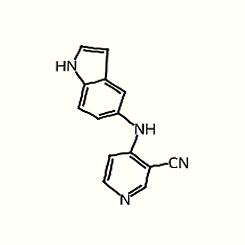 N#Cc1cnccc1Nc1ccc2[nH]ccc2c1